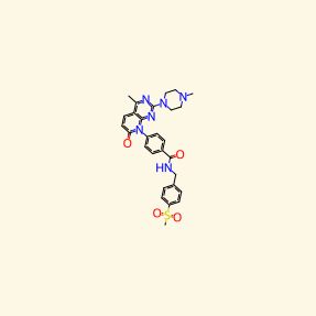 Cc1nc(N2CCN(C)CC2)nc2c1ccc(=O)n2-c1ccc(C(=O)NCc2ccc(S(C)(=O)=O)cc2)cc1